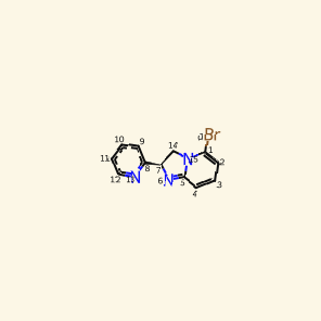 BrC1=CC=CC2=N[C@@H](c3ccccn3)CN12